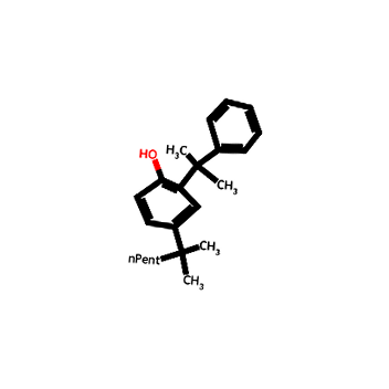 CCCCCC(C)(C)c1ccc(O)c(C(C)(C)c2ccccc2)c1